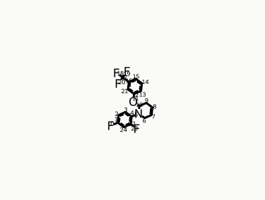 Fc1ccc(N2CC=CCC2Oc2cccc(C(F)(F)F)c2)c(F)c1